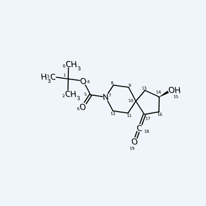 CC(C)(C)OC(=O)N1CCC2(CC1)C[C@@H](O)CC2=C=O